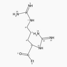 CCC(=O)C(CCCNC(=N)N)NC(=N)N